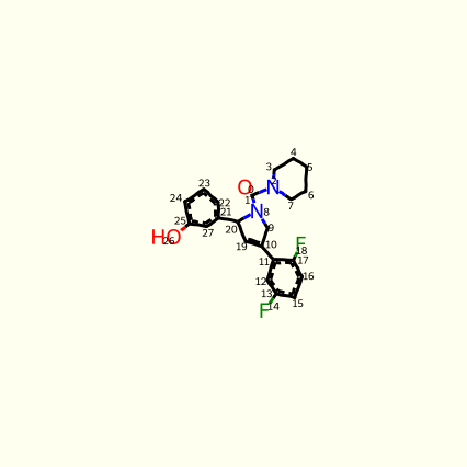 O=C(N1CCCCC1)N1CC(c2cc(F)ccc2F)=CC1c1cccc(O)c1